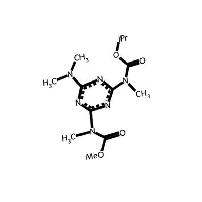 COC(=O)N(C)c1nc(N(C)C)nc(N(C)C(=O)OC(C)C)n1